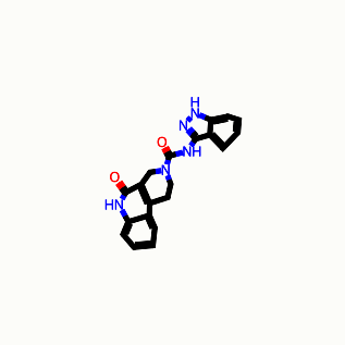 O=C(Nc1n[nH]c2ccccc12)N1CCc2c(c(=O)[nH]c3ccccc23)C1